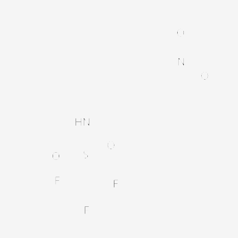 O=[N+]([O-])c1ccc(NS(=O)(=O)C(F)(F)F)c(C2CCCCC2)c1